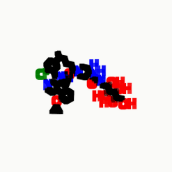 CC(CCCC(=O)N1CCC(NC(=O)NC[C@H](O)[C@@H](O)[C@H](O)[C@H](O)CO)CC1)c1ccc(Cl)c(CNC2(c3cnccc3-c3ccccc3OC3CC3)CC2)c1